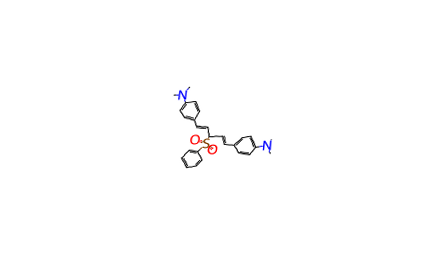 CN(C)c1ccc(/C=C/C(/C=C/c2ccc(N(C)C)cc2)S(=O)(=O)c2ccccc2)cc1